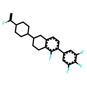 C=C(F)C1CCC(C2CCc3c(ccc(-c4cc(F)c(F)c(F)c4)c3F)C2)CC1